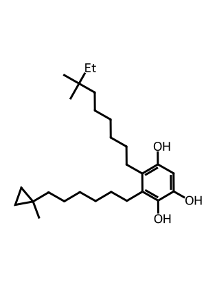 CCC(C)(C)CCCCCCc1c(O)cc(O)c(O)c1CCCCCCC1(C)CC1